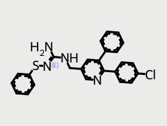 N/C(=N\Sc1ccccc1)NCc1cnc(-c2ccc(Cl)cc2)c(-c2ccccc2)c1